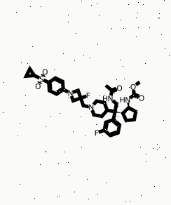 COC(=O)N[C@H]1CCC[C@@H]1C(CNC(C)=O)(c1cccc(F)c1)C1CCN(CC2(F)CN(c3ccc(S(=O)(=O)C4CC4)cc3)C2)CC1